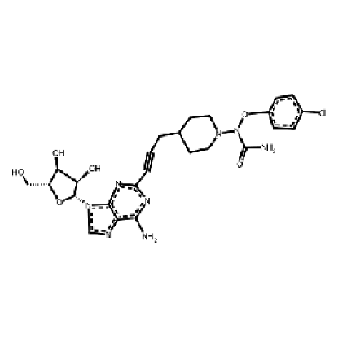 NC(=O)N(Oc1ccc(Cl)cc1)N1CCC(CC#Cc2nc(N)c3ncn([C@@H]4O[C@H](CO)[C@@H](O)[C@H]4O)c3n2)CC1